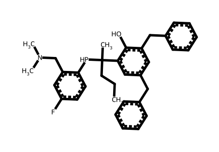 CCCC(C)(Pc1ccc(F)cc1CN(C)C)c1cc(Cc2ccccc2)cc(Cc2ccccc2)c1O